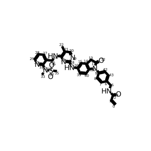 C=CC(=O)NCc1ccc(N2C(=O)Cc3cc(Nc4ncc(C)c(NCc5cccnc5N(C)S(C)(=O)=O)n4)ccc32)cc1